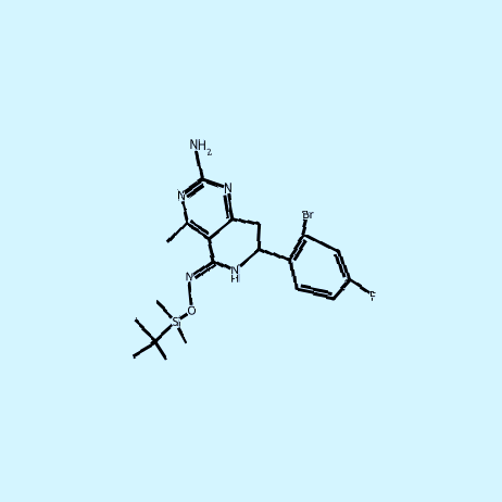 Cc1nc(N)nc2c1C(=NO[Si](C)(C)C(C)(C)C)NC(c1ccc(F)cc1Br)C2